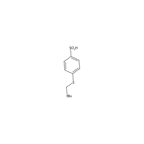 CC(C)(C)CSc1ccc(S(=O)(=O)O)cc1